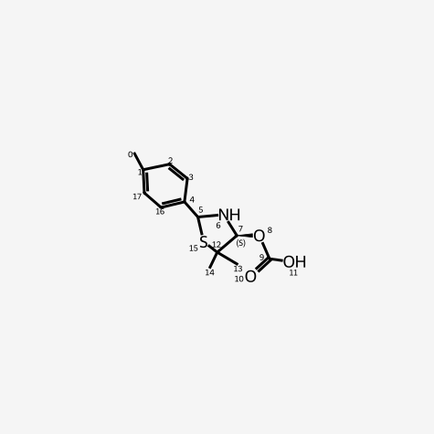 Cc1ccc(C2N[C@@H](OC(=O)O)C(C)(C)S2)cc1